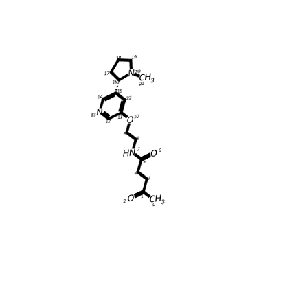 CC(=O)CCC(=O)NCCOc1cncc([C@@H]2CCCN2C)c1